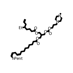 C=CCC(CC)CCCC(=O)OCC(COC(=O)CCCCCCC/C=C\C/C=C\CCCCC)COC(=O)OCCCN1CCN(C)CC1